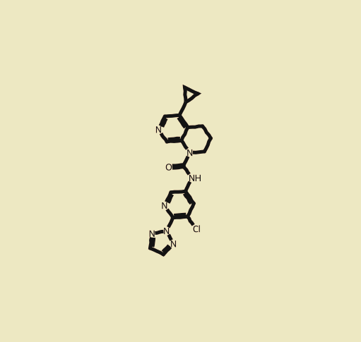 O=C(Nc1cnc(-n2nccn2)c(Cl)c1)N1CCCc2c(C3CC3)cncc21